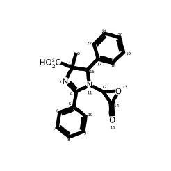 CC1(C(=O)O)N=C(c2ccccc2)N(C2OC2=O)C1c1ccccc1